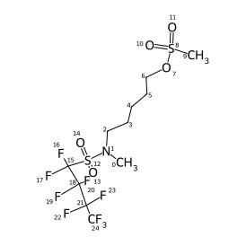 CN(CCCCCOS(C)(=O)=O)S(=O)(=O)C(F)(F)C(F)(F)C(F)(F)C(F)(F)F